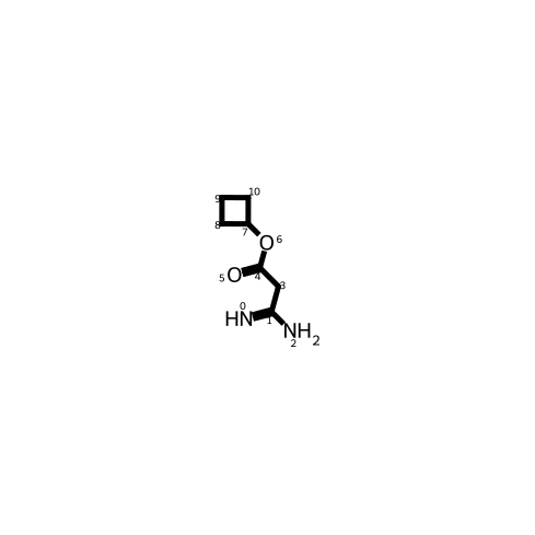 N=C(N)CC(=O)OC1CCC1